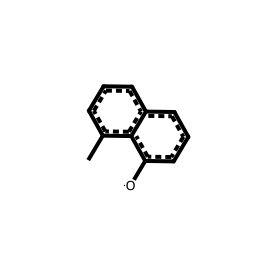 Cc1cccc2cccc([O])c12